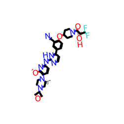 COc1nc(Nc2nccc(-c3ccc(OC4CCN(C(=O)[C@@H](O)C(F)F)CC4)c(C#N)c3)n2)ccc1N1CCN(C2COC2)C[C@H]1C